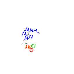 C[C@@H](CO[PH](=O)Cl)Cn1cnc2c(N)ncnc21